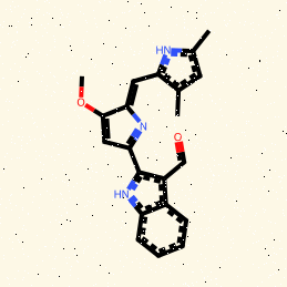 COC1=CC(c2[nH]c3ccccc3c2C=O)=NC1=Cc1[nH]c(C)cc1C